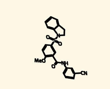 COc1ccc(S(=O)(=O)N2CCc3ccccc32)cc1C(=O)Nc1cccc(C#N)c1